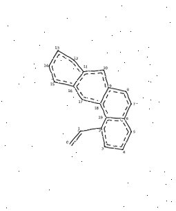 C=[C]c1cccc2ccc3cc4ccccc4cc3c12